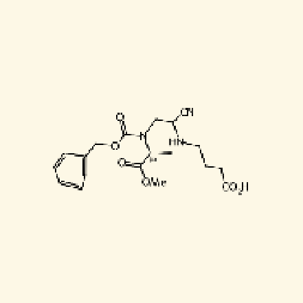 COC(=O)[C@H](C)N(CC(C#N)NCCCC(=O)O)C(=O)OCc1ccccc1